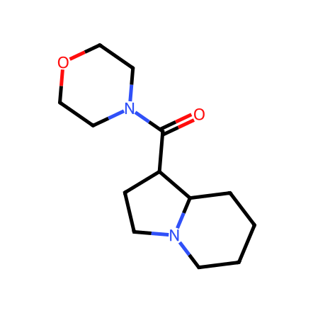 O=C(C1CCN2CCCCC12)N1CCOCC1